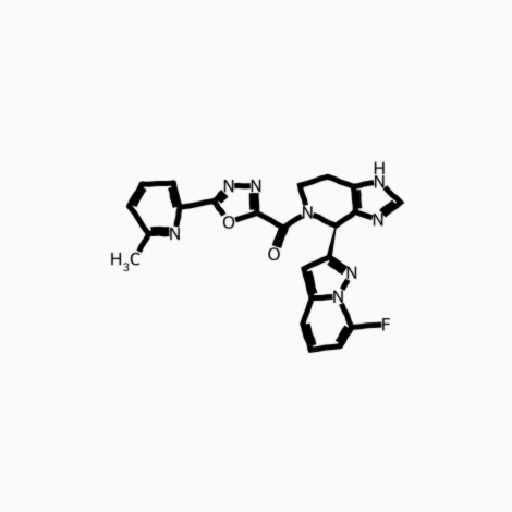 Cc1cccc(-c2nnc(C(=O)N3CCc4[nH]cnc4[C@H]3c3cc4cccc(F)n4n3)o2)n1